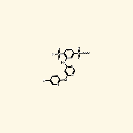 CCS(=O)(=O)c1ccc(S(=O)(=O)NC)cc1Nc1cc(Nc2ccc(Cl)cn2)ncn1